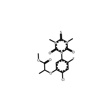 COC(=O)C(C)Oc1cc(-n2c(=O)n(C)c(=S)n(C)c2=O)c(F)cc1Cl